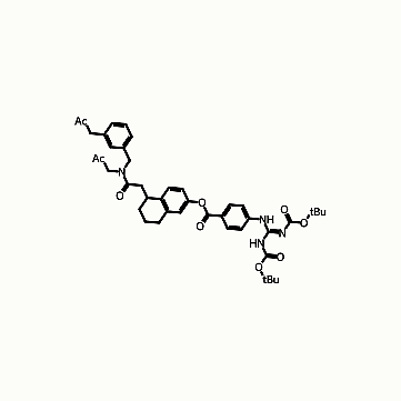 CC(=O)Cc1cccc(CN(CC(C)=O)C(=O)CC2CCCc3cc(OC(=O)c4ccc(N/C(=N\C(=O)OC(C)(C)C)NC(=O)OC(C)(C)C)cc4)ccc32)c1